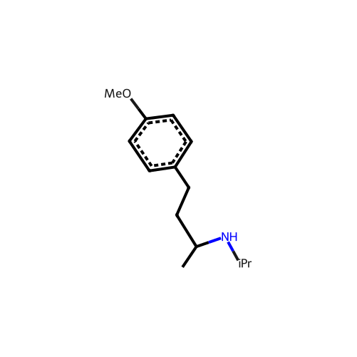 COc1ccc(CCC(C)NC(C)C)cc1